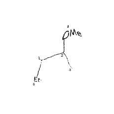 C[CH]CC(C)OC